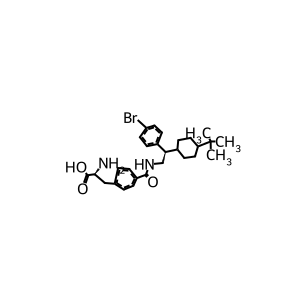 CC(C)(C)C1CCC([C@@H](CNC(=O)c2ccc(C[C@H](N)C(=O)O)cc2)c2ccc(Br)cc2)CC1